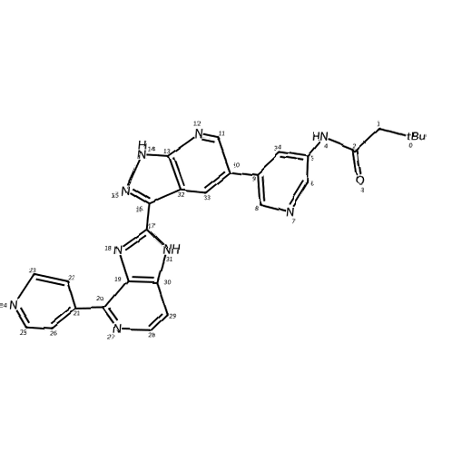 CC(C)(C)CC(=O)Nc1cncc(-c2cnc3[nH]nc(-c4nc5c(-c6ccncc6)nccc5[nH]4)c3c2)c1